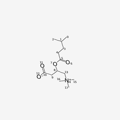 CC(C)CCC(=O)OC(CC(=O)[O-])C[N+](C)(C)C